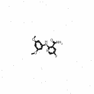 COc1cc(Nc2ncc(F)cc2C(N)=O)cc(OC)c1